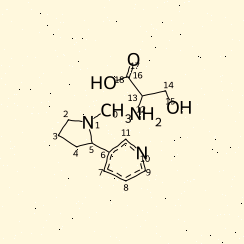 CN1CCCC1c1cccnc1.NC(CO)C(=O)O